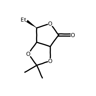 CC[C@H]1OC(=O)C2OC(C)(C)OC21